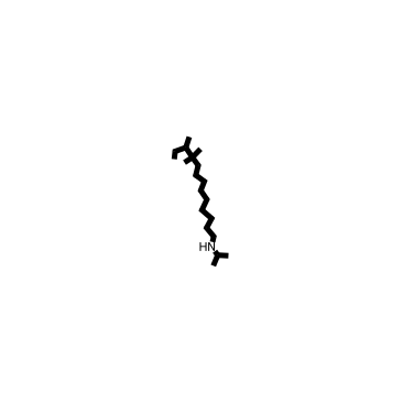 CCC(C)C(C)(C)CCCCCCCCCNC(C)C